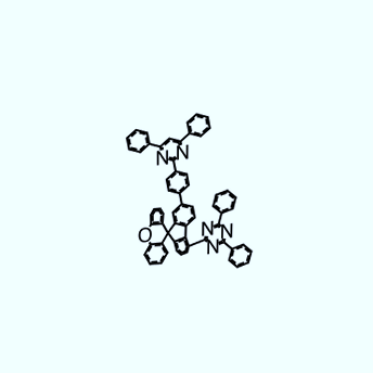 c1ccc(-c2cc(-c3ccccc3)nc(-c3ccc(-c4ccc5c(c4)C4(c6ccccc6Oc6ccccc64)c4cccc(-c6nc(-c7ccccc7)nc(-c7ccccc7)n6)c4-5)cc3)n2)cc1